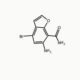 NC(=O)c1c(N)cc(Br)c2ccoc12